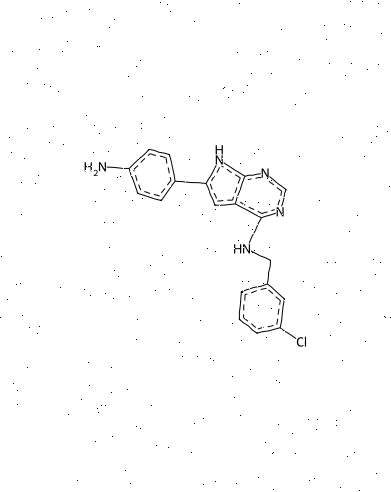 Nc1ccc(-c2cc3c(NCc4cccc(Cl)c4)ncnc3[nH]2)cc1